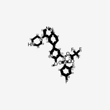 COc1ncc(-c2ccc3nncc(N4CCNCC4)c3c2)cc1N(OC(=O)C(F)(F)F)S(=O)(=O)c1ccc(F)cc1F